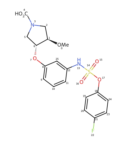 CO[C@@H]1CN(C(=O)O)C[C@H]1Oc1cccc(NS(=O)(=O)Oc2ccc(F)cc2)c1